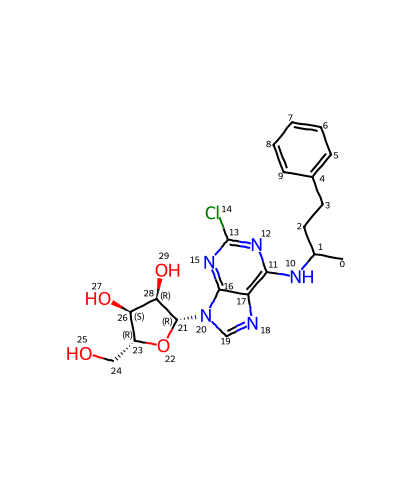 CC(CCc1ccccc1)Nc1nc(Cl)nc2c1ncn2[C@@H]1O[C@H](CO)[C@@H](O)[C@H]1O